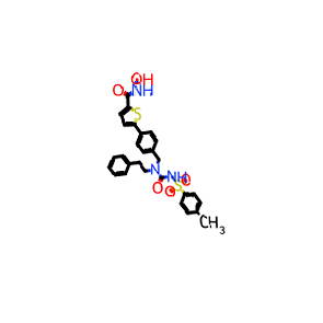 Cc1ccc(S(=O)(=O)NC(=O)N(CCc2ccccc2)Cc2ccc(-c3ccc(C(=O)NO)s3)cc2)cc1